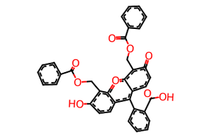 O=C(OCc1c2oc3c(COC(=O)c4ccccc4)c(O)ccc3c(-c3ccccc3C(=O)O)c-2ccc1=O)c1ccccc1